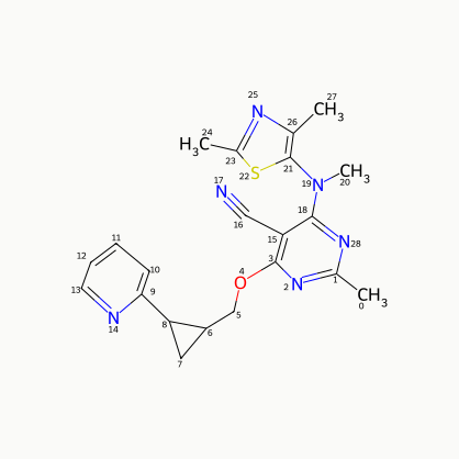 Cc1nc(OCC2CC2c2ccccn2)c(C#N)c(N(C)c2sc(C)nc2C)n1